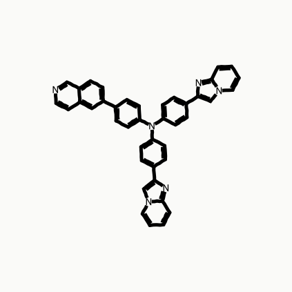 c1ccn2cc(-c3ccc(N(c4ccc(-c5ccc6cnccc6c5)cc4)c4ccc(-c5cn6ccccc6n5)cc4)cc3)nc2c1